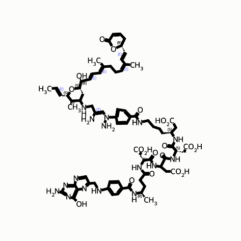 C/C=C/[C@@H]1O[C@H]([C@H](O)/C=C/C=C(\C)CC/C=C(C)\C=C\[C@H]2CC=CC(=O)O2)CC(NC/C(N)=C/N(N)c2ccc(C(=O)NCCCC[C@@H](CC(=O)O)NC(=O)[C@H](CC(=O)O)NC(=O)C(CC(=O)O)NC(=O)[C@@H](CC(=O)O)NC(=O)CC[C@@H](C)NC(=O)c3ccc(NCc4cnc5nc(N)nc(O)c5n4)cc3)cc2)[C@@H]1C